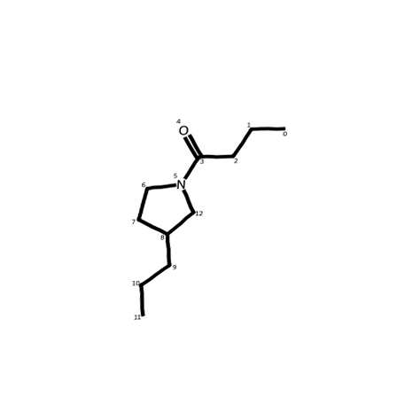 CCCC(=O)N1CCC(CCC)C1